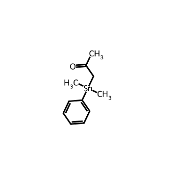 CC(=O)[CH2][Sn]([CH3])([CH3])[c]1ccccc1